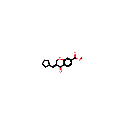 COC(=O)c1ccc2c(c1)OC/C(=C\C1CCCC1)C2=O